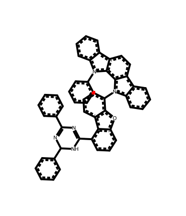 c1ccc(C2=NC(c3ccccc3)NC(c3cccc4oc5c(-n6c7ccccc7c7ccc8c9ccccc9n(-c9ccccc9)c8c76)cccc5c34)=N2)cc1